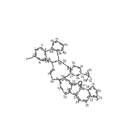 Cc1ccc2[n+](c1)C1/C=C/Cc3ccc4c(oc5c6ccsc6ccc45)c3-c3cc(C(C)(C)C)cc[n+]3CC1c1ccccc1-2